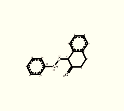 O=C1CCc2ccccc2C1ONc1ccccc1